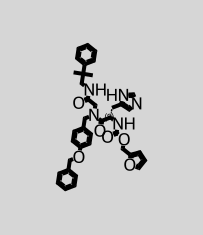 CC(C)(CNC(=O)CN(Cc1ccc(OCc2ccccc2)cc1)C(=O)[C@H](Cc1cnc[nH]1)NC(=O)OCc1ccco1)c1ccccc1